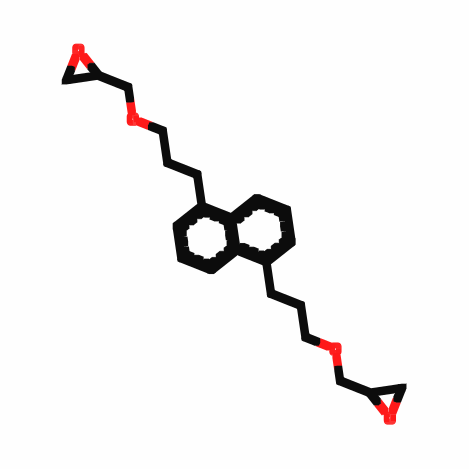 c1cc(CCCOCC2CO2)c2cccc(CCCOCC3CO3)c2c1